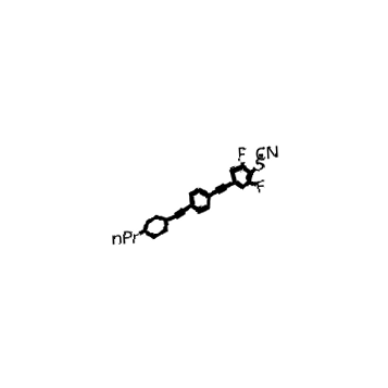 CCCC1CCC(C#Cc2ccc(C#Cc3cc(F)c(SC#N)c(F)c3)cc2)CC1